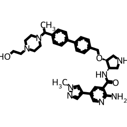 CC(c1ccc(-c2ccc(CO[C@H]3CNC[C@@H]3NC(=O)c3cc(-c4cnn(C)c4)cnc3N)cc2)cc1)N1CCN(CCO)CC1